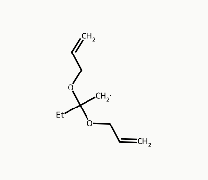 [CH2]C(CC)(OCC=C)OCC=C